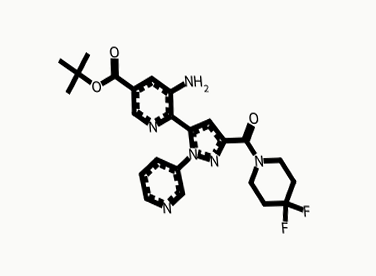 CC(C)(C)OC(=O)c1cnc(-c2cc(C(=O)N3CCC(F)(F)CC3)nn2-c2cccnc2)c(N)c1